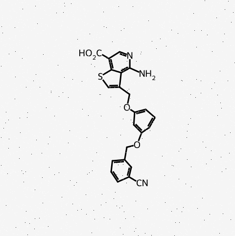 N#Cc1cccc(COc2cccc(OCc3csc4c(C(=O)O)cnc(N)c34)c2)c1